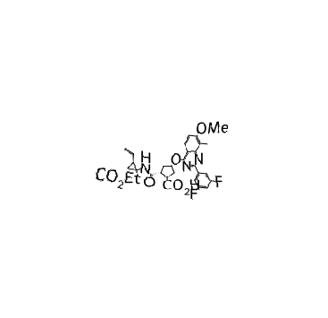 C=C[C@@H]1C[C@]1(NC(=O)[C@@H]1C[C@@H](Oc2nc(-c3cc(F)cc(F)c3)nc3c(C)c(OC)ccc23)C[C@H]1C(=O)O)C(=O)OCC